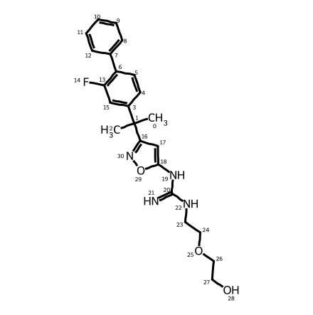 CC(C)(c1ccc(-c2ccccc2)c(F)c1)c1cc(NC(=N)NCCOCCO)on1